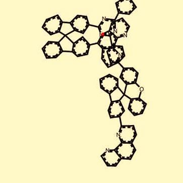 c1ccc(-c2nc(-c3ccccc3)nc(-c3ccc4c(c3)C3(c5ccccc5-4)c4ccccc4-c4ccc(-c5cc6cccnc6c6nc(-c7ccc8c(c7)C7(c9ccccc9O8)c8ccccc8-c8ccc(-c9ccc%10ccc%11cccnc%11c%10n9)cc87)ccc56)cc43)n2)cc1